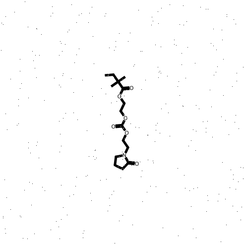 CCC(C)(C)C(=O)OCCOC(=O)OCCN1CCCC1=O